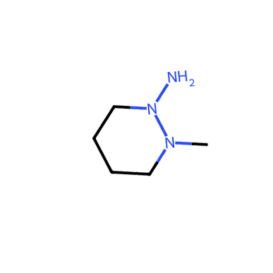 CN1CCCCN1N